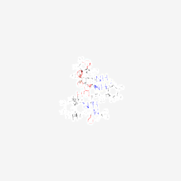 CC(C)(C)NC(=O)[C@@H]1C[C@@H]2CCCC[C@@H]2CN1C[C@@H](O)[C@H](Cc1ccccc1)NC(=O)[C@](N)(Cc1ccco1)C(C)(C)S(C)(=O)=O